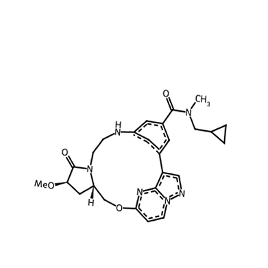 CO[C@@H]1C[C@H]2COc3ccn4ncc(c4n3)-c3cc(cc(C(=O)N(C)CC4CC4)c3)NCCN2C1=O